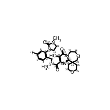 CN(Cc1ccc(F)cc1N1CCN(C)C1=O)C(=O)c1nc2n(c(=O)c1O)CCOCC21CCOCC1